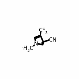 [CH2]n1cc(C#N)c(C(F)(F)F)c1